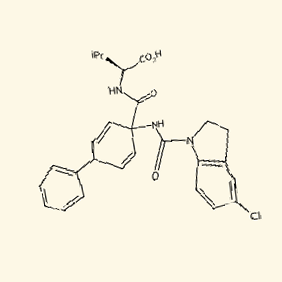 CC(C)[C@H](NC(=O)C1(NC(=O)N2CCc3cc(Cl)ccc32)C=CC(c2ccccc2)C=C1)C(=O)O